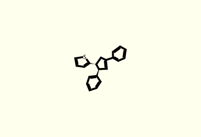 C1=C(c2ccccc2)C[C@@H](c2cccs2)[C@@H]1c1ccccc1